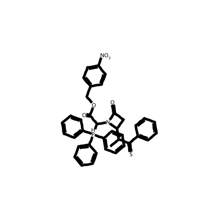 CC(C(=S)c1ccccc1)C1CC(=O)N1C(C(=O)OCc1ccc([N+](=O)[O-])cc1)[PH](c1ccccc1)(c1ccccc1)c1ccccc1